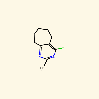 Bc1nc(Cl)c2c(n1)CCCCC2